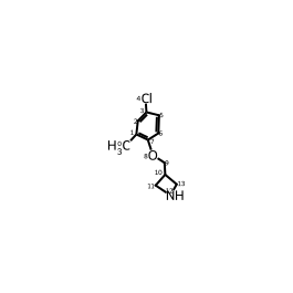 Cc1cc(Cl)ccc1OCC1CNC1